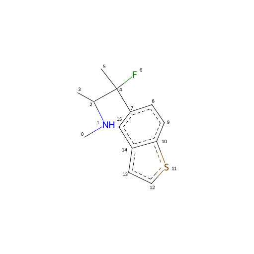 CNC(C)C(C)(F)c1ccc2sccc2c1